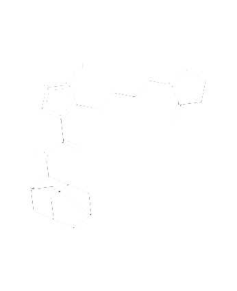 Cn1ncc(C(=O)NC2C3CC4CC(C3)CC2C4)c1OCCCN1CCCC1=O